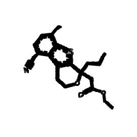 CCCC1(CC(=O)OCC)OCCc2c1sc1c(C)ccc(C#N)c21